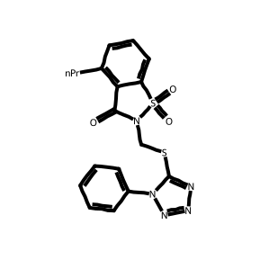 CCCc1cccc2c1C(=O)N(CSc1nnnn1-c1ccccc1)S2(=O)=O